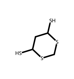 SC1CC(S)SCS1